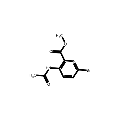 COC(=O)c1nc(Br)ccc1NC(C)=O